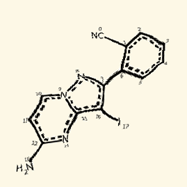 N#Cc1ccccc1-c1nn2ccc(N)nc2c1I